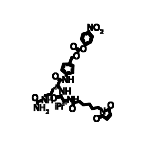 CC(C)[C@@H](NC(=O)CCCCCN1C(=O)C=CC1=O)C(=O)N[C@H](CCCNC(N)=O)C(=O)Nc1ccc(COC(=O)Oc2ccc([N+](=O)[O-])cc2)cc1